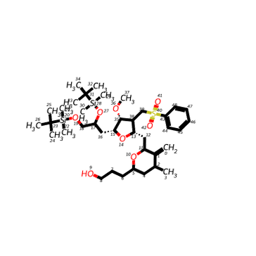 C=C1C(C)CC(CCCO)OC1C[C@@H]1O[C@H](CC(CO[Si](C)(C)C(C)(C)C)O[Si](C)(C)C(C)(C)C)[C@H](OC)C1CS(=O)(=O)c1ccccc1